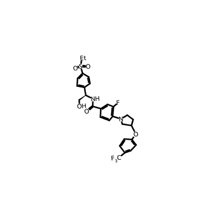 CCS(=O)(=O)c1ccc([C@H](CO)NC(=O)c2ccc(N3CCC(Oc4ccc(C(F)(F)F)cc4)C3)c(F)c2)cc1